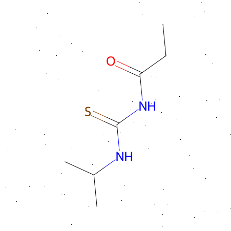 CCC(=O)NC(=S)NC(C)C